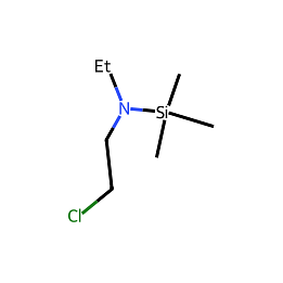 CCN(CCCl)[Si](C)(C)C